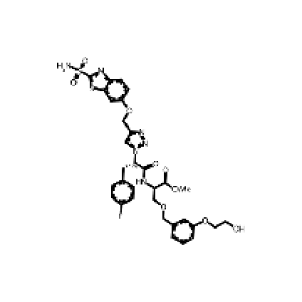 COC(=O)C(COCc1cccc(OCCO)c1)NC(=O)[C@H](Cc1ccc(F)cc1)n1cc(COc2ccc3nc(S(N)(=O)=O)sc3c2)nn1